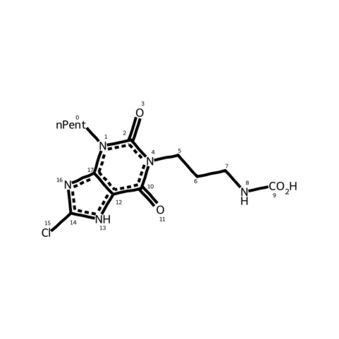 CCCCCn1c(=O)n(CCCNC(=O)O)c(=O)c2[nH]c(Cl)nc21